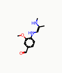 CN/C(C)=C\Nc1ccc(C=O)cc1OC